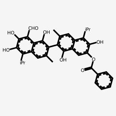 Cc1cc2c(C(C)C)c(O)c(OC(=O)c3ccccc3)cc2c(O)c1-c1c(C)cc2c(C(C)C)c(O)c(O)c(C=O)c2c1O